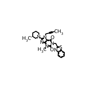 CC#CCn1c(N2CCC[C@@H](C)C2)nc2c1c(=O)n(Cc1nc3ccccc3s1)c(=O)n2C